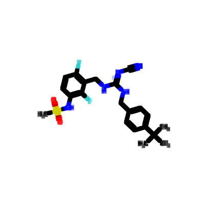 CC(C)(C)c1ccc(CN/C(=N\C#N)NCc2c(F)ccc(NS(C)(=O)=O)c2F)cc1